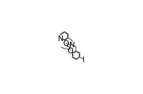 CCS(=O)(=O)N(Cc1cccnc1)Cc1cccc(I)c1